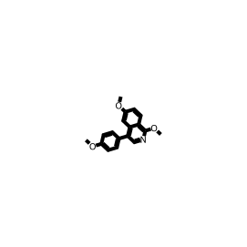 COc1ccc(-c2cnc(OC)c3ccc(OC)cc23)cc1